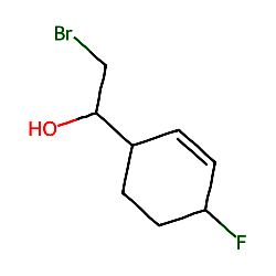 OC(CBr)C1C=CC(F)CC1